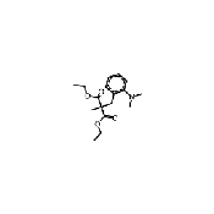 CCOC(=O)C(C)(Cc1ccccc1N(C)C)C(=O)OCC